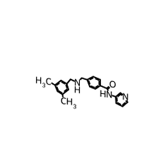 Cc1cc(C)cc(CNCc2ccc(C(=O)Nc3cccnc3)cc2)c1